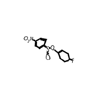 O=[N+]([O-])c1ccc(S(=O)OC2CCC(F)CC2)cc1